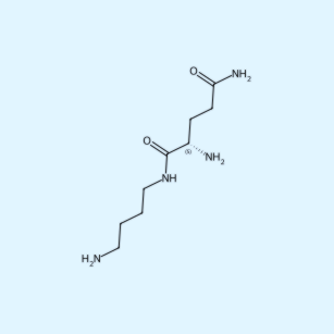 NCCCCNC(=O)[C@@H](N)CCC(N)=O